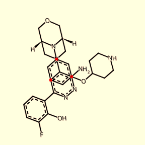 Nc1nnc(-c2cccc(F)c2O)cc1N1C[C@H]2COC[C@@H](C1)N2c1cccc(OC2CCNCC2)c1